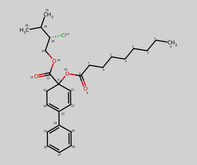 CCCCCCCCC(=O)OC1(C(=O)OC[C@@H](Cl)C(C)C)C=CC(c2ccccc2)=CC1